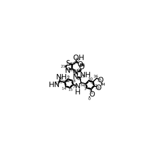 COc1cc(C(Nc2ccc(C(=N)N)cc2)c2nn(-c3ncsc3C(=O)O)c(=O)[nH]2)cc2c1OCOC2